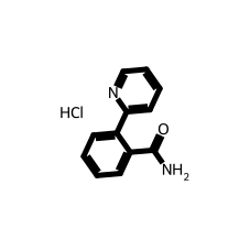 Cl.NC(=O)c1ccccc1-c1ccccn1